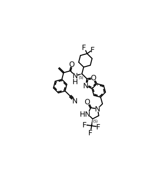 C=C(C(=O)N[C@H](c1nc2cc(CN3C[C@@H](C(F)(F)F)NC3=O)ccc2o1)C1CCC(F)(F)CC1)c1cccc(C#N)c1